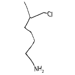 CC(Cl)CCCN